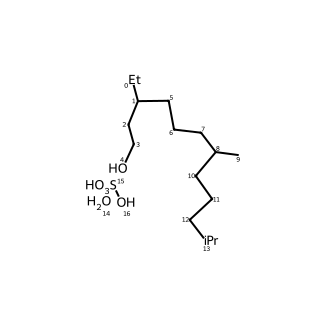 CCC(CCO)CCCC(C)CCCC(C)C.O.O=S(=O)(O)O